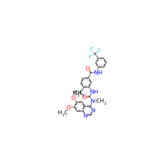 COc1cc2ncnc(N(C)C(=O)Nc3cc(C(=O)Nc4cccc(C(F)(F)F)c4)ccc3C)c2cc1OC